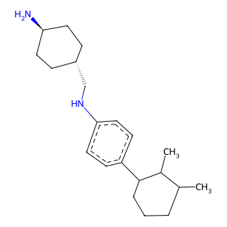 CC1CCCC(c2ccc(NC[C@H]3CC[C@H](N)CC3)cc2)C1C